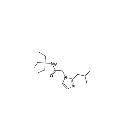 CCC(CC)(CC)NC(=O)Cn1ccnc1CC(C)C